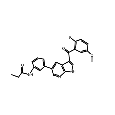 CCC(=O)Nc1cccc(-c2cnc3[nH]cc(C(=O)c4cc(OC)ccc4F)c3c2)c1